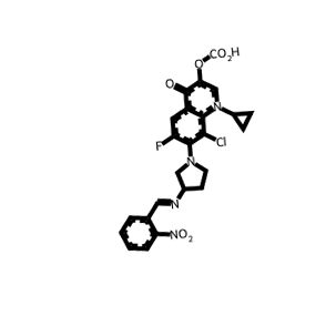 O=C(O)Oc1cn(C2CC2)c2c(Cl)c(N3CCC(N=Cc4ccccc4[N+](=O)[O-])C3)c(F)cc2c1=O